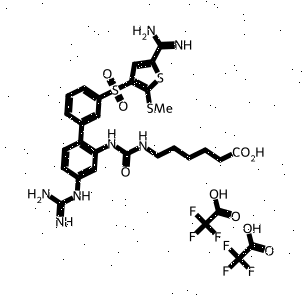 CSc1sc(C(=N)N)cc1S(=O)(=O)c1cccc(-c2ccc(NC(=N)N)cc2NC(=O)NCCCCCC(=O)O)c1.O=C(O)C(F)(F)F.O=C(O)C(F)(F)F